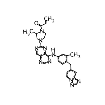 C=CC(=O)N1CCN(c2ncc3ncnc(Nc4ccc(Cc5ccn6ncnc6c5)c(C)c4)c3n2)CC1C